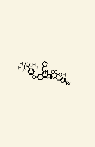 CC(C)(C)c1ccc(Oc2ccc3cc(C(=O)N[C@H](Cc4ccc(Br)s4)C(=O)O)nc(CC4CCCC4)c3c2)cc1